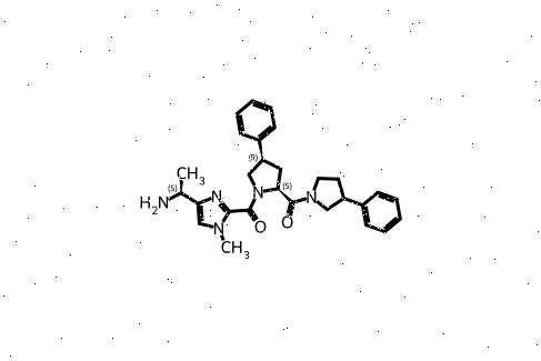 C[C@H](N)c1cn(C)c(C(=O)N2C[C@@H](c3ccccc3)C[C@H]2C(=O)N2CCC(c3ccccc3)C2)n1